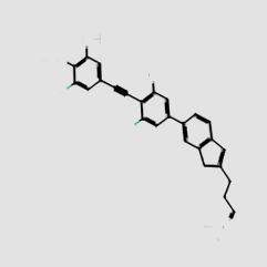 C=CCCC1=Cc2ccc(-c3cc(C)c(C#Cc4cc(C)c(C)c(F)c4)c(F)c3)cc2C1